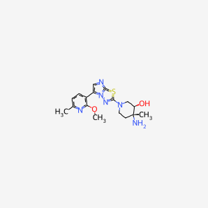 COc1nc(C)ccc1-c1cnc2sc(N3CC[C@@](C)(N)[C@H](O)C3)nn12